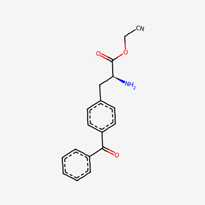 N#CCOC(=O)[C@@H](N)Cc1ccc(C(=O)c2ccccc2)cc1